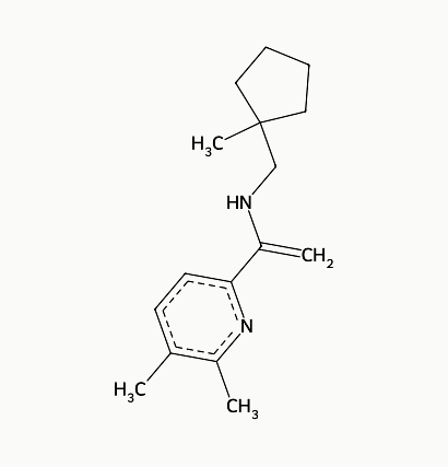 C=C(NCC1(C)CCCC1)c1ccc(C)c(C)n1